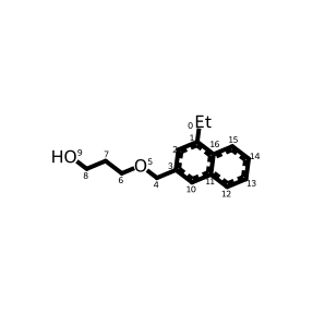 CCc1cc(COCCCO)cc2ccccc12